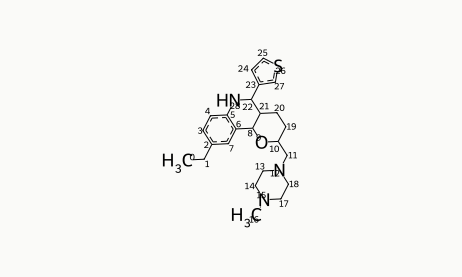 CCc1ccc2c(c1)C1OC(CN3CCN(C)CC3)CCC1C(c1ccsc1)N2